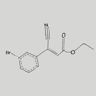 CCOC(=O)C=C(C#N)c1cccc(Br)c1